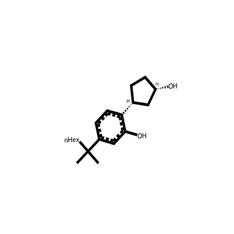 CCCCCCC(C)(C)c1ccc([C@@H]2CC[C@H](O)C2)c(O)c1